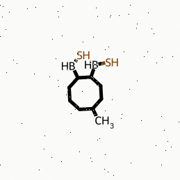 CC1CCCC(BS)C(BS)CC1